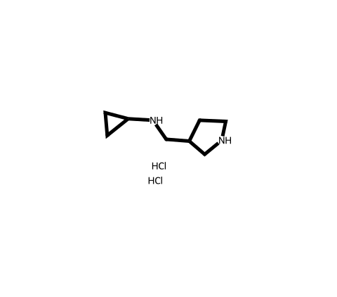 C1CC(CNC2CC2)CN1.Cl.Cl